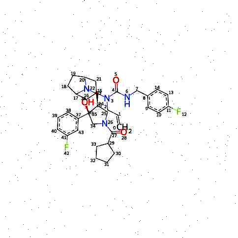 C=CCN(C(=O)NCc1ccc(F)cc1)C1CC2CCC(C1)N2C[C@H]1CN(C(=O)C2CCCC2)C[C@]1(O)c1cccc(F)c1